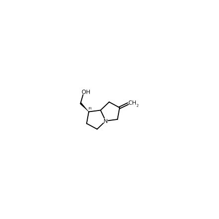 C=C1CC2[C@H](CO)CCN2C1